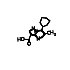 Cc1cnc2c(C(=O)O)cnn2c1C1CCCCC1